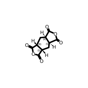 O=C1OC(=O)[C@@H]2C[C@H]3C(=O)OC(=O)[C@H]3C[C@H]12